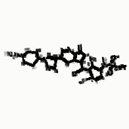 CCCS(=O)(=O)Nc1ccc(F)c(C(=O)c2c[nH]c3ncc(-c4cnn(C5CCN(C(=O)O)CC5)c4)cc23)c1F